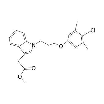 COC(=O)Cc1cn(CCCOc2cc(C)c(Cl)c(C)c2)c2ccccc12